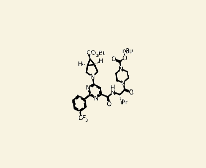 CCCCOC(=O)N1CCN(C(=O)[C@@H](NC(=O)c2cc(N3C[C@@H]4[C@H](C3)[C@@H]4C(=O)OCC)nc(-c3cccc(C(F)(F)F)c3)n2)C(C)C)CC1